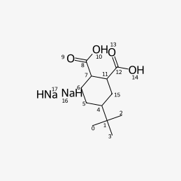 CC(C)(C)C1CCC(C(=O)O)C(C(=O)O)C1.[NaH].[NaH]